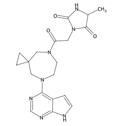 CC1NC(=O)N(CC(=O)N2CCN(c3ncnc4[nH]ccc34)CC3(CC3)C2)C1=O